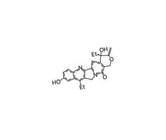 C=C1OCc2c(cc3n(c2=O)Cc2c-3nc3ccc(O)cc3c2CC)[C@@]1(O)CC